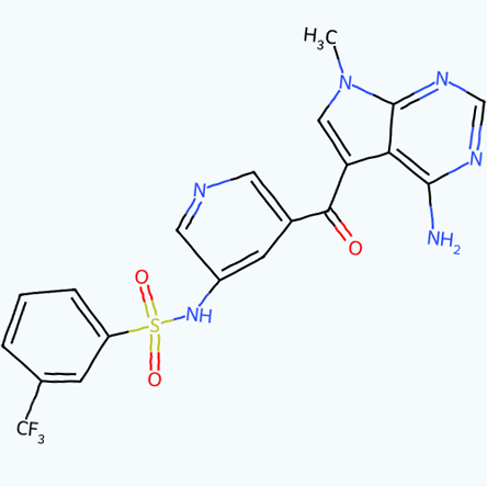 Cn1cc(C(=O)c2cncc(NS(=O)(=O)c3cccc(C(F)(F)F)c3)c2)c2c(N)ncnc21